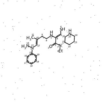 CCN(C(=O)/C(=C/S)NCC/C(C)=C/N(N)c1ccccc1)[C@H]1CCCNC1